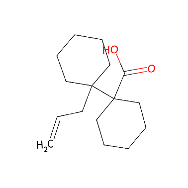 C=CCC1(C2(C(=O)O)CCCCC2)CCCCC1